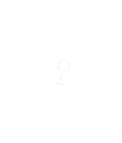 Fc1cn[c]nc1C1CC1